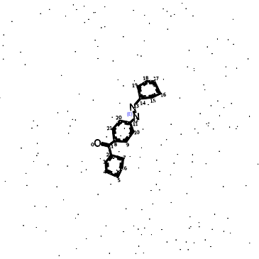 O=C(c1ccccc1)c1ccc(/N=N/c2ccccc2)cc1